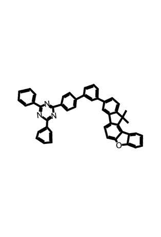 CC1(C)c2ccc(-c3cccc(-c4ccc(-c5nc(-c6ccccc6)nc(-c6ccccc6)n5)cc4)c3)cc2-c2ccc3oc4ccccc4c3c21